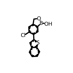 OB1OCc2cc(Cl)c(-c3cc4ccccc4s3)cc21